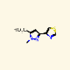 Cn1nc(-c2cscn2)cc1C(=O)O